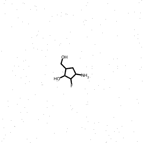 NC1CC(CO)C(O)C1F